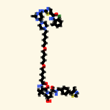 Cc1nc(Nc2ncc(C(=O)Nc3c(C)cccc3Cl)s2)cc(N2CCN(CCCCCCOCCCCCOCCCCCC(=O)NC(C(=O)N3C[C@H](O)C[C@H]3C(=O)NCc3ccc(-c4scnc4C)cc3)C(C)(C)C)CC2)n1